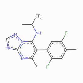 Cc1cc(F)c(-c2c(C)nc3ncnn3c2NC(C)C(F)(F)F)cc1F